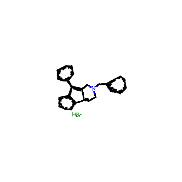 Br.C1=C2C(=C(c3ccccc3)c3ccccc32)CN(Cc2ccccc2)C1